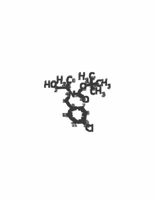 CC(CO)N(Cc1ccc(Cl)cc1)C(=O)OC(C)(C)C